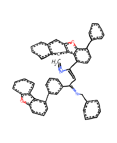 C=N/C(=C\C(=N/Cc1ccccc1)c1cccc(-c2cccc3oc4ccccc4c23)c1)c1ccc(-c2ccccc2)c2oc3cc4ccccc4cc3c12